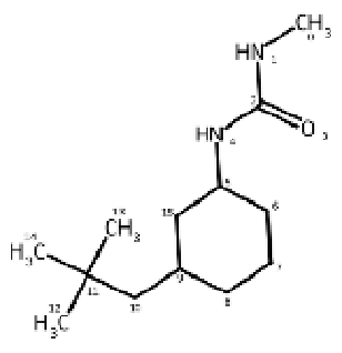 CNC(=O)NC1CCCC(CC(C)(C)C)C1